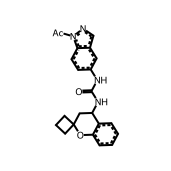 CC(=O)n1ncc2cc(NC(=O)NC3CC4(CCC4)Oc4ccccc43)ccc21